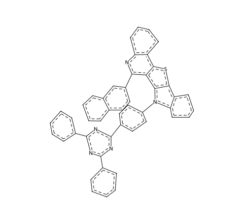 c1ccc(-c2nc(-c3ccccc3)nc(-c3ccc(-n4c5ccccc5c5sc6c7ccccc7nc(-c7ccc8ccccc8c7)c6c54)cc3)n2)cc1